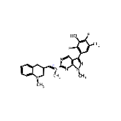 CN1CC(/C=[N+](\C)c2ncc3c(-c4cc(C(F)(F)F)c(F)c(O)c4F)nn(C)c3n2)Cc2ccccc21